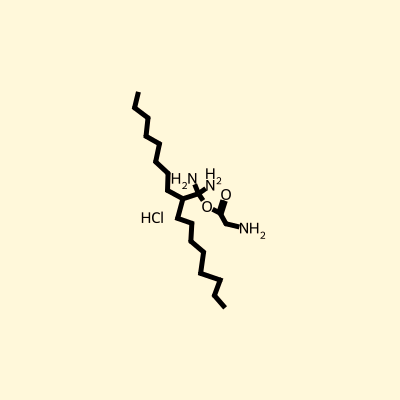 CCCCCCCCC(CCCCCCCC)C(N)(N)OC(=O)CN.Cl